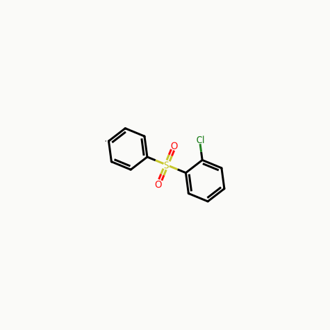 O=S(=O)(c1cc[c]cc1)c1ccccc1Cl